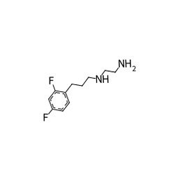 NCCNCCCc1ccc(F)cc1F